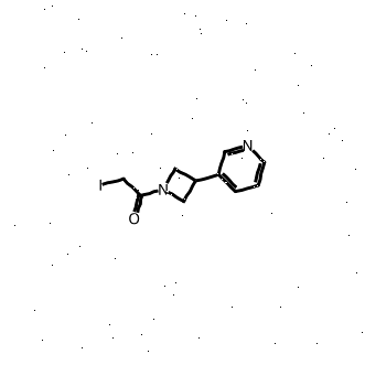 O=C(CI)N1CC(c2cccnc2)C1